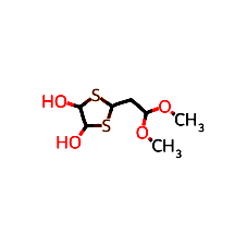 COC(CC1SC(O)C(O)S1)OC